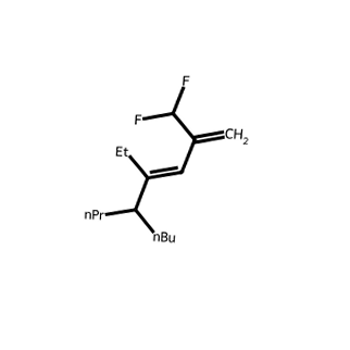 C=C(/C=C(\CC)C(CCC)CCCC)C(F)F